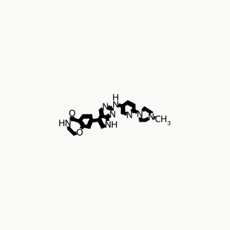 CN1CCN(c2ccc(Nc3ncc4c(-c5ccc6c(c5)OCCNC6=O)c[nH]c4n3)cn2)CC1